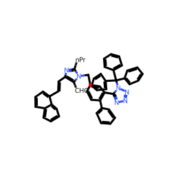 CCCc1nc(C=Cc2cccc3ccccc23)c(C=O)n1Cc1ccc(-c2ccccc2)c(-c2nnnn2C(c2ccccc2)(c2ccccc2)c2ccccc2)c1